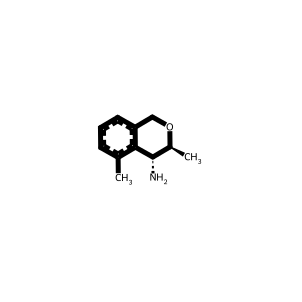 Cc1cccc2c1[C@@H](N)[C@H](C)OC2